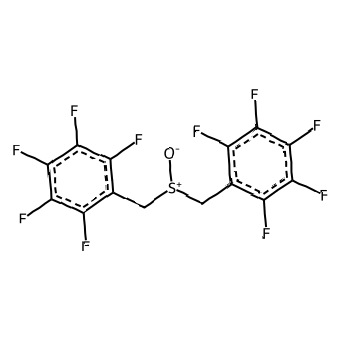 [O-][S+](Cc1c(F)c(F)c(F)c(F)c1F)Cc1c(F)c(F)c(F)c(F)c1F